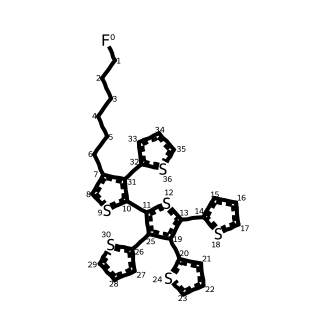 FCCCCCCc1csc(-c2sc(-c3cccs3)c(-c3cccs3)c2-c2cccs2)c1-c1cccs1